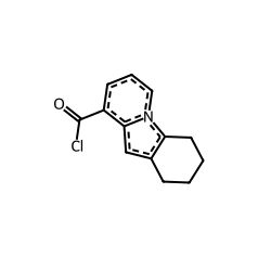 O=C(Cl)c1cccn2c3c(cc12)CCCC3